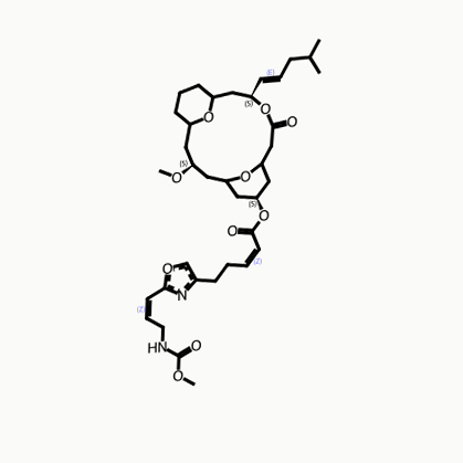 COC(=O)NC/C=C\c1nc(CC/C=C\C(=O)O[C@@H]2CC3CC(=O)O[C@H](/C=C/CC(C)C)CC4CCCC(C[C@H](OC)CC(C2)O3)O4)co1